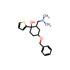 CN(C)CC1CC(OCc2ccccc2)CCC1(O)c1cccs1